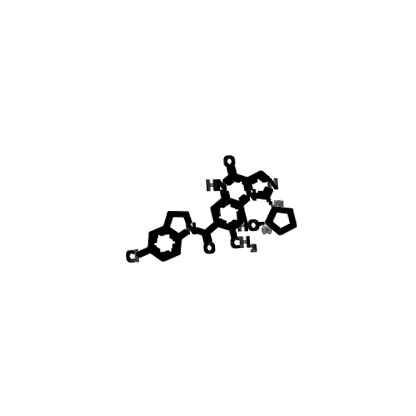 Cc1cc2c(cc1C(=O)N1CCc3cc(Cl)ccc31)[nH]c(=O)c1cnc([C@@H]3CCC[C@@H]3O)n12